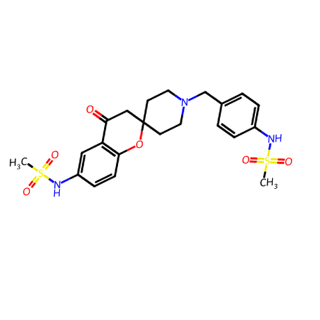 CS(=O)(=O)Nc1ccc(CN2CCC3(CC2)CC(=O)c2cc(NS(C)(=O)=O)ccc2O3)cc1